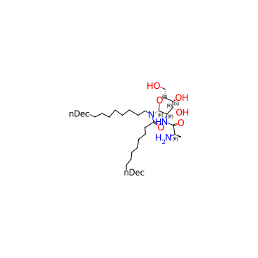 CCCCCCCCCCCCCCCCCCN(C(=O)CCCCCCCCCCCCCCCCC)[C@@H]1O[C@H](CO)[C@@H](O)[C@H](O)[C@H]1NC(=O)[C@@H](C)N